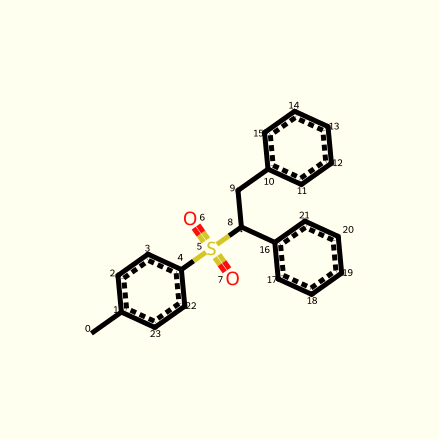 Cc1ccc(S(=O)(=O)[C](Cc2ccccc2)c2ccccc2)cc1